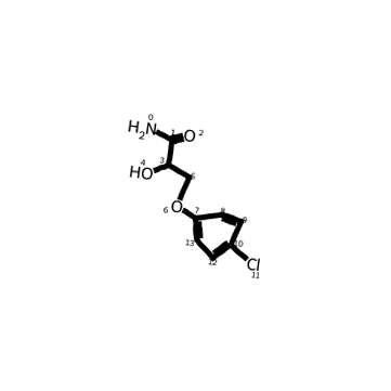 NC(=O)C(O)COc1ccc(Cl)cc1